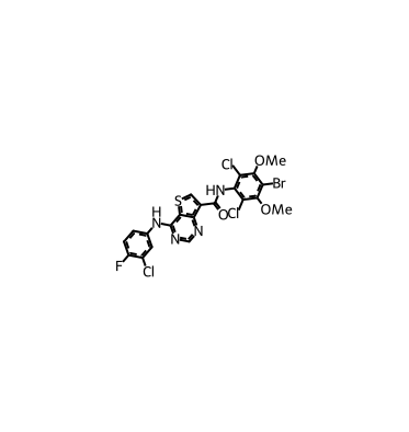 COc1c(Cl)c(NC(=O)c2csc3c(Nc4ccc(F)c(Cl)c4)ncnc23)c(Cl)c(OC)c1Br